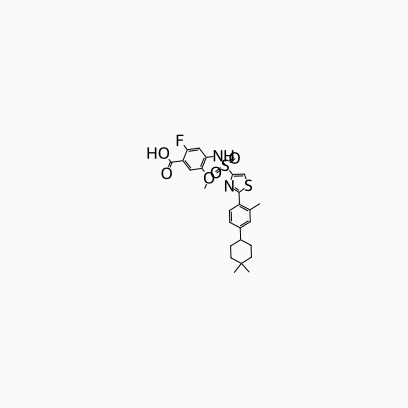 COc1cc(C(=O)O)c(F)cc1NS(=O)(=O)c1csc(-c2ccc(C3CCC(C)(C)CC3)cc2C)n1